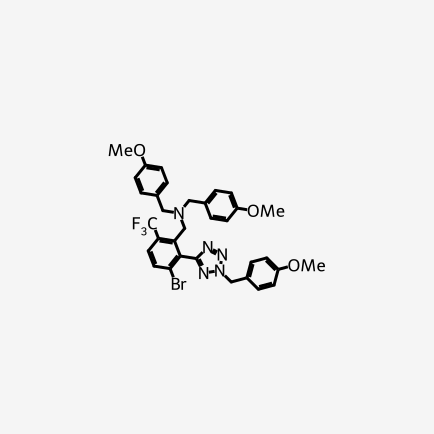 COc1ccc(CN(Cc2ccc(OC)cc2)Cc2c(C(F)(F)F)ccc(Br)c2-c2nnn(Cc3ccc(OC)cc3)n2)cc1